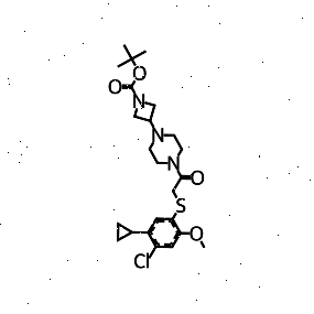 COc1cc(Cl)c(C2CC2)cc1SCC(=O)N1CCN(C2CN(C(=O)OC(C)(C)C)C2)CC1